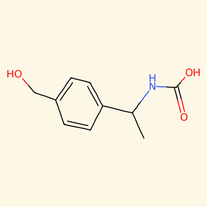 CC(NC(=O)O)c1ccc(CO)cc1